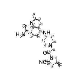 Cc1ccc2c(NC3CCN(CC(=O)N4C[C@@H](F)C[C@H]4C#N)CC3)ccc(C(N)=O)c2n1